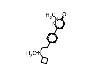 CN(CCc1ccc(-c2ccc(=O)n(C)n2)cc1)C1CCC1